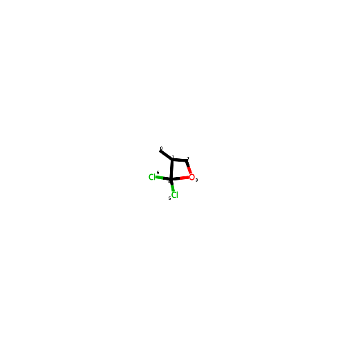 CC1COC1(Cl)Cl